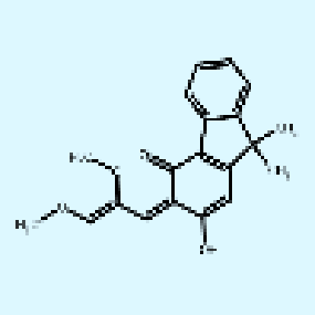 CO/C=C(/C=C1\C(=O)C2=C(C=C1O)C(C)(C)c1ccccc12)OC